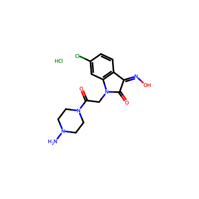 Cl.NN1CCN(C(=O)CN2C(=O)C(=NO)c3ccc(Cl)cc32)CC1